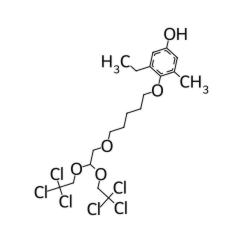 CCc1cc(O)cc(C)c1OCCCCCOCC(OCC(Cl)(Cl)Cl)OCC(Cl)(Cl)Cl